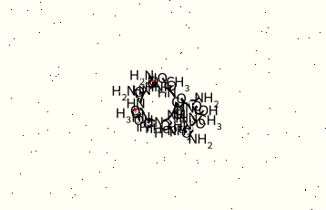 CCCCCCCC(=O)N[C@@H](CCN)C(=O)N[C@H](C(=O)N[C@@H](CCN)C(=O)N[C@H]1CCNC(=O)[C@H]([C@@H](C)O)NC(=O)[C@H](CCN)NC(=O)[C@H](CCN)NC(=O)[C@H]([C@@H](C)O)NC(=O)[C@@H](CC(C)C)NC(=O)[C@H](CCN)NC1=O)[C@@H](C)O